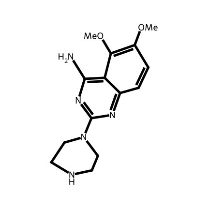 COc1ccc2nc(N3CCNCC3)nc(N)c2c1OC